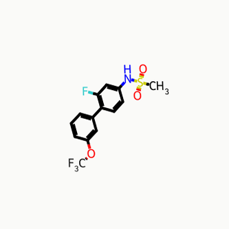 CS(=O)(=O)Nc1ccc(-c2cccc(OC(F)(F)F)c2)c(F)c1